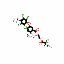 Cc1c(F)c(F)c(Oc2ccc([N+](=O)[O-])c(C(=O)OCCOC(=O)C(C)Cl)c2)c(Cl)c1F